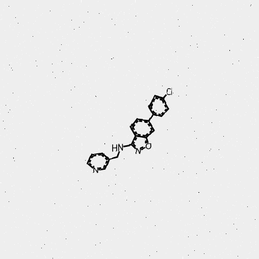 Clc1ccc(-c2ccc3c(NCc4cccnc4)noc3c2)cc1